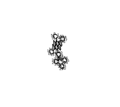 c1ccc(-c2nc3nc(-c4ccccc4)c(-c4ccc(N5c6ccccc6-c6ccccc6-c6ccccc65)cc4)nc3nc2-c2ccccc2)cc1